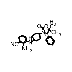 CC1(C)OC(=O)N(C2CCC(Nc3cccc(C#N)c3N)CC2)[C@H]1c1ccccc1